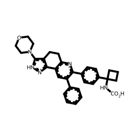 O=C(O)NC1(c2ccc(-c3nc4c(cc3-c3ccccc3)-c3n[nH]c(N5CCOCC5)c3CC4)cc2)CCC1